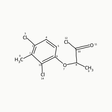 Cc1c(Cl)ccc(OC(C)C(=O)Cl)c1Cl